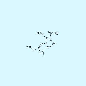 CCNc1ncnc(/C=C(\C)ON)c1C